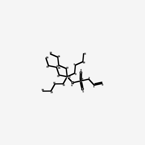 C=CCS(=O)(=O)OP(CCCC)(CCCC)(CCCC)CCCC